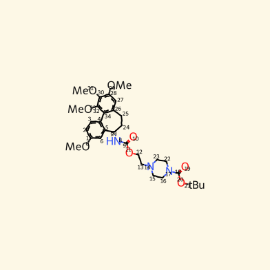 COc1ccc2c(c1)[C@@H](NC(=O)OCCN1CCN(C(=O)OC(C)(C)C)CC1)CCc1cc(OC)c(OC)c(OC)c1-2